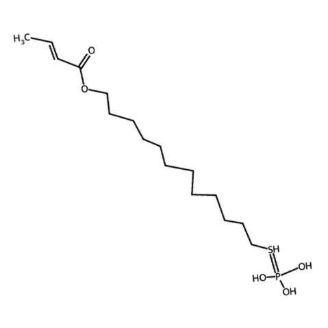 CC=CC(=O)OCCCCCCCCCCCC[SH]=P(O)(O)O